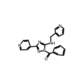 O=C(c1ccccc1)n1nc(-c2ccncc2)nc1NCc1cccnc1